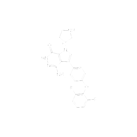 Nc1n[nH]c(=O)c2c1c(-c1ccc(Oc3c(F)cccc3F)cc1)cn2[C@@H]1CCNC1